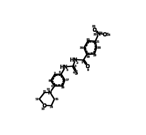 O=C(NC(=S)Nc1ccc(N2CCOCC2)cc1)c1ccc([N+](=O)[O-])cc1